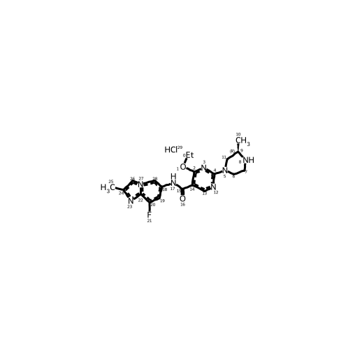 CCOc1nc(N2CCN[C@H](C)C2)ncc1C(=O)Nc1cc(F)c2nc(C)cn2c1.Cl